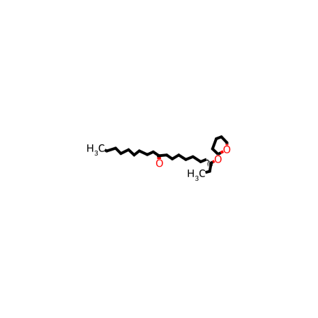 CCCCCCCCCC(=O)CCCCCCC[C@@H](CC)OC1CCCCO1